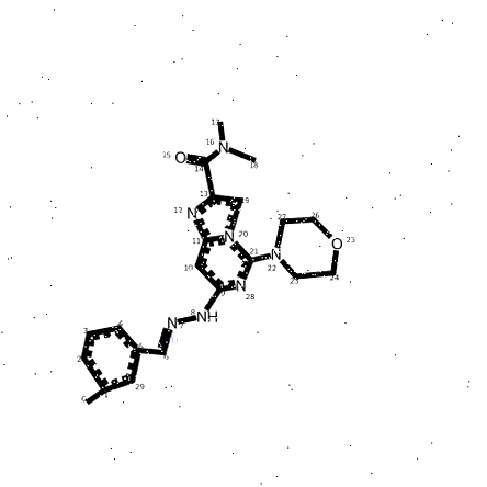 Cc1cccc(/C=N/Nc2cc3nc(C(=O)N(C)C)cn3c(N3CCOCC3)n2)c1